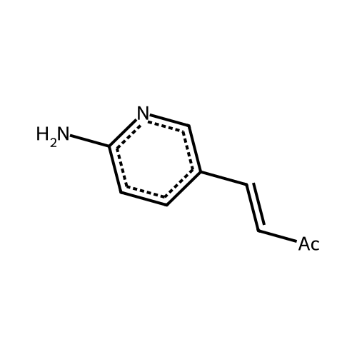 CC(=O)/C=C/c1ccc(N)nc1